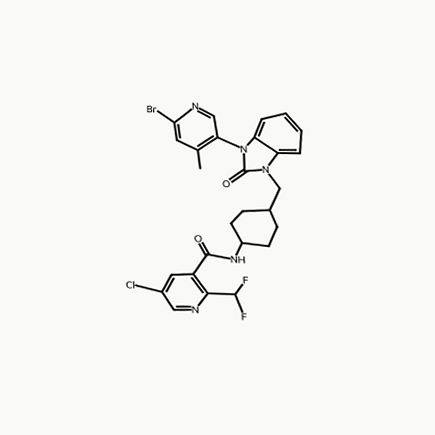 Cc1cc(Br)ncc1-n1c(=O)n(CC2CCC(NC(=O)c3cc(Cl)cnc3C(F)F)CC2)c2ccccc21